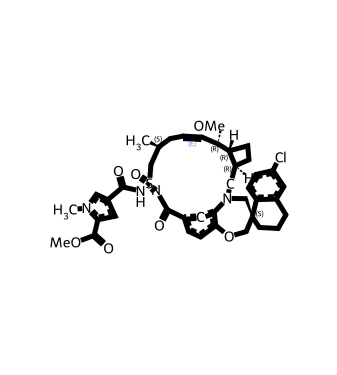 COC(=O)c1cc(C(=O)NS2(=O)=NC(=O)c3ccc4c(c3)N(C[C@@H]3CC[C@H]3[C@@H](OC)/C=C/C[C@H](C)C2)C[C@@]2(CCCc3cc(Cl)ccc32)CO4)cn1C